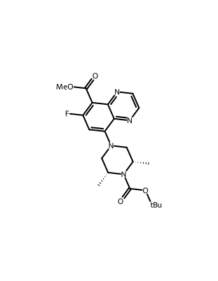 COC(=O)c1c(F)cc(N2C[C@@H](C)N(C(=O)OC(C)(C)C)[C@@H](C)C2)c2nccnc12